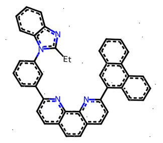 CCc1nc2ccccc2n1-c1cccc(-c2ccc3ccc4ccc(-c5cc6ccccc6c6ccccc56)nc4c3n2)c1